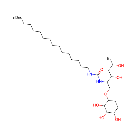 CCCCCCCCCCCCCCCCCCCCCCCCNC(=O)NC(COC1CCC(O)C(O)C1O)C(O)CC(O)CC